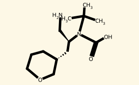 CC(C)(C)N(C(=O)O)[C@H](CN)C[C@H]1CCCOC1